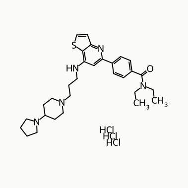 CCN(CC)C(=O)c1ccc(-c2cc(NCCCN3CCC(N4CCCC4)CC3)c3sccc3n2)cc1.Cl.Cl.Cl